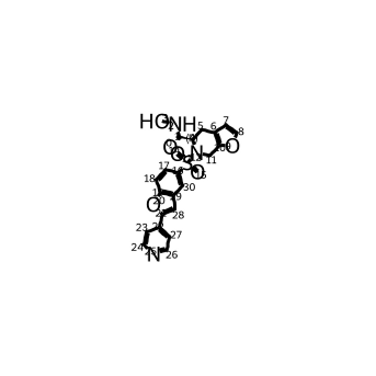 O=C(NO)[C@H]1Cc2ccoc2CN1S(=O)(=O)c1ccc2oc(-c3ccncc3)cc2c1